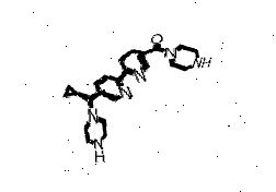 O=C(c1ccc(-c2ccc(C(=C3CC3)N3CCNCC3)cn2)nc1)N1CCNCC1